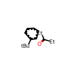 CC(C)(C)c1ccccc1.CCC(=O)CC